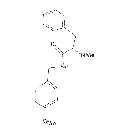 CN[C@@H](Cc1ccccc1)C(=O)NCc1ccc(OC)cc1